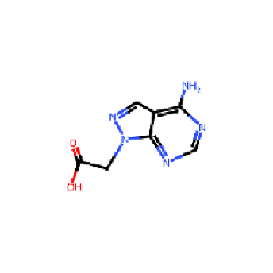 Nc1ncnc2c1cnn2CC(=O)O